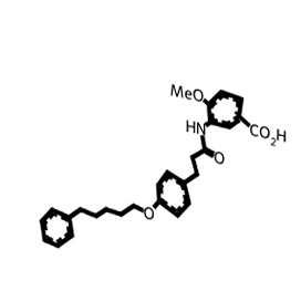 COc1ccc(C(=O)O)cc1NC(=O)CCc1ccc(OCCCCCc2ccccc2)cc1